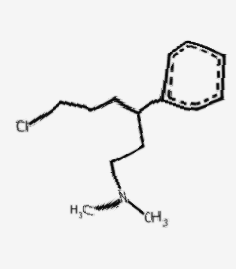 CN(C)CCC(CCCCl)c1ccccc1